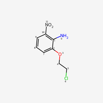 Nc1c(OCCCl)cccc1[N+](=O)[O-]